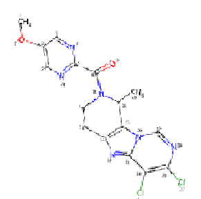 COc1cnc(C(=O)N2CCc3nc4c(Cl)c(Cl)ncn4c3C2C)nc1